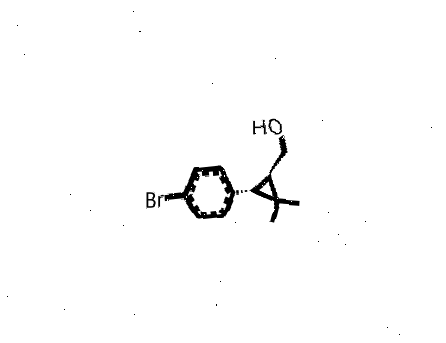 CC1(C)[C@H](CO)[C@H]1c1ccc(Br)cc1